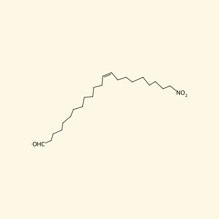 O=[C]CCCCCCCCCCC/C=C\CCCCCCCC[N+](=O)[O-]